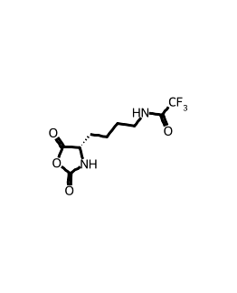 O=C1N[C@@H](CCCCNC(=O)C(F)(F)F)C(=O)O1